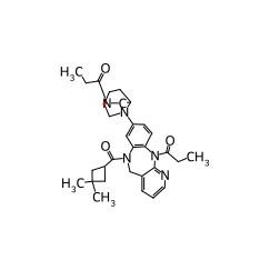 CCC(=O)N1c2ccc(N3CC4CCC3CN4C(=O)CC)cc2N(C(=O)C2CC(C)(C)C2)Cc2cccnc21